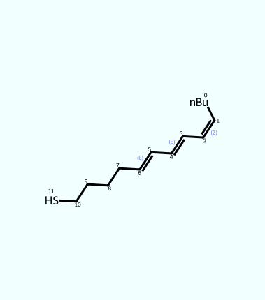 CCCC\C=C/C=C/C=C/CCCCS